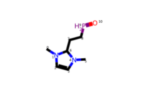 CN1C=CN(C)C1CC[PH2]=O